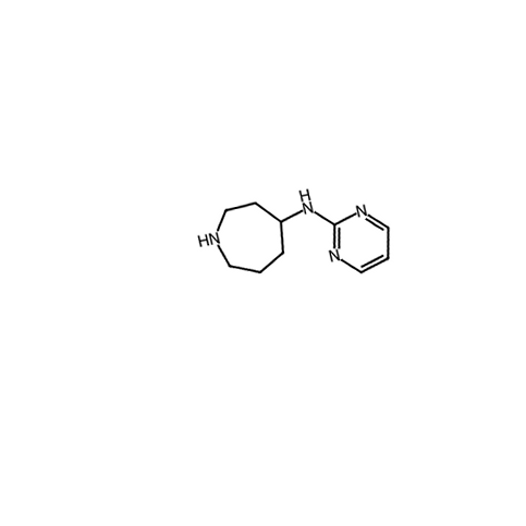 c1cnc(NC2CCCNCC2)nc1